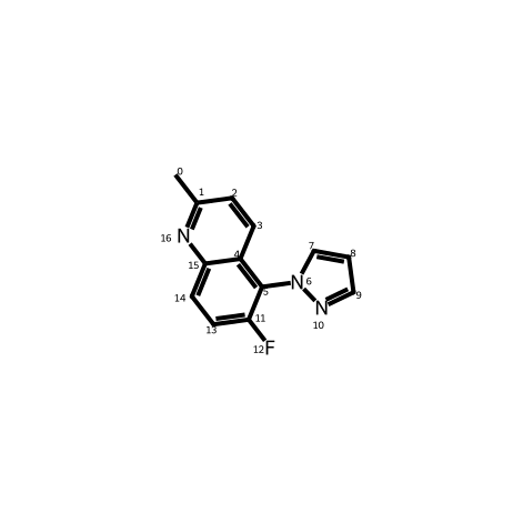 Cc1ccc2c(-n3cccn3)c(F)ccc2n1